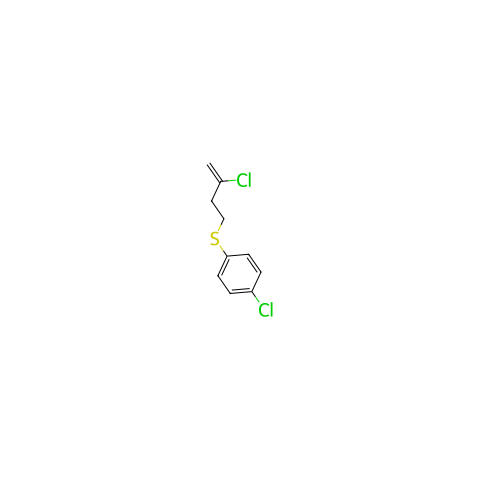 C=C(Cl)CCSc1ccc(Cl)cc1